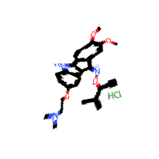 C#CC(O/N=C1/c2cc(OC)c(OC)cc2-c2[nH]c3ccc(OCCN(C)C)cc3c21)C(C)C.Cl